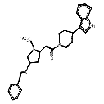 O=C(CC1CC(OCc2ccccc2)CN1C(=O)O)N1CCC(c2c[nH]c3ccccc23)CC1